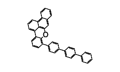 c1ccc(-c2ccc(-c3ccc(-c4cccc5c4Oc4cc6ccccc6c6cccc-5c46)cc3)cc2)cc1